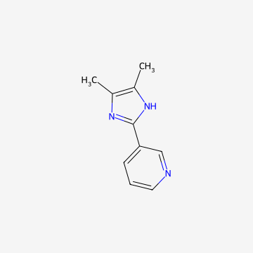 Cc1nc(-c2cccnc2)[nH]c1C